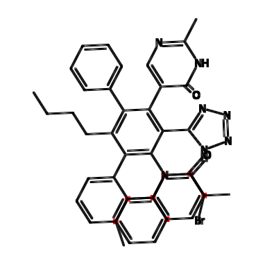 CCCCc1c(-c2ccccc2)c(-c2cnc(C)[nH]c2=O)c(-c2nnn[nH]2)c(N(C(=O)C(C)Br)c2ccccc2)c1-c1cccc(C)c1-c1ccccc1